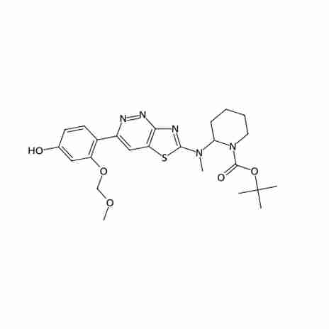 COCOc1cc(O)ccc1-c1cc2sc(N(C)C3CCCCN3C(=O)OC(C)(C)C)nc2nn1